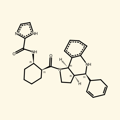 O=C(N[C@@H]1CCCC[C@@H]1C(=O)N1CC[C@@H]2[C@H](C3C=CC=CC3)Nc3ccccc3[C@@H]21)c1ncc[nH]1